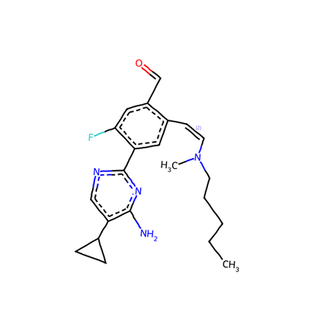 CCCCCN(C)/C=C\c1cc(-c2ncc(C3CC3)c(N)n2)c(F)cc1C=O